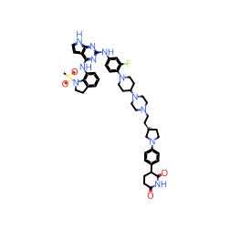 CS(=O)(=O)N1CCc2cccc(Nc3nc(Nc4ccc(N5CCC(N6CCN(CC[C@H]7CCN(c8ccc(C9CCC(=O)NC9=O)cc8)C7)CC6)CC5)c(F)c4)nc4[nH]ccc34)c21